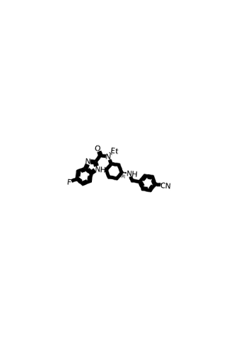 CCN(C(=O)c1nc2cc(F)ccc2[nH]1)C1CCC[C@@H](NCc2ccc(C#N)cc2)C1